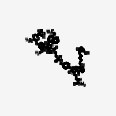 COc1ccc([C@@]23Oc4cc(O[C@@H]5O[C@@H]([C@H](O)CO)CO[C@H]5OC)cc(OC)c4[C@]2(O)[C@H](O)[C@H](C(=O)NCCNC(=O)OCc2ccc(NC(=O)[C@H](CCCNC(N)=O)NC(=O)C4(C(=O)NCCCCCN5C(=O)C=CC5O)CCC4)cc2)[C@H]3c2ccccc2)cc1